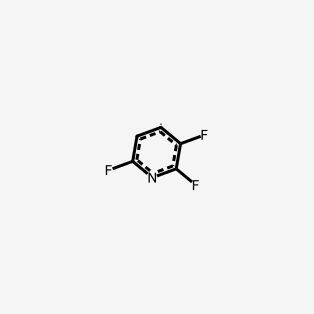 Fc1c[c]c(F)c(F)n1